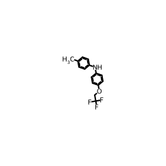 Cc1ccc(Nc2ccc(OCC(F)(F)F)cc2)cc1